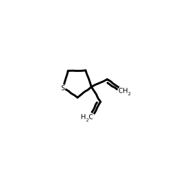 C=CC1(C=C)CCSC1